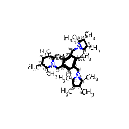 CCc1c(CN2[C@H](C)[C@H](C)[C@H](C)[C@@H]2C)c(CC)c(CN2[C@H](C)[C@H](C)C[C@H](C)[C@@H]2C)c(CC)c1CN1[C@H](C)[C@H](C)[C@H](C)[C@@H]1C